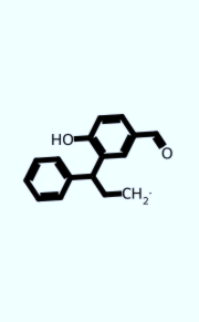 [CH2]CC(c1ccccc1)c1cc(C=O)ccc1O